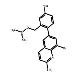 Cc1ccc2cc(-c3ccc(C(C)(C)C)cc3CO[SiH](C)C)cc(Br)c2n1